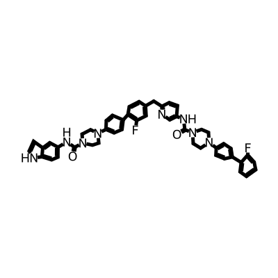 O=C(Nc1ccc(Cc2ccc(-c3ccc(N4CCN(C(=O)Nc5ccc6[nH]ccc6c5)CC4)cc3)c(F)c2)nc1)N1CCN(c2ccc(-c3ccccc3F)cc2)CC1